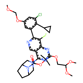 COCOc1cc(Cl)c(C2CC2)c(-c2ncc3c(N4CC5CCC(C4)N5C(=O)OC(C)(C)C)nc(OCC(OC)OC)nc3c2F)c1